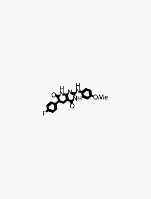 COc1ccc(Nc2nc3c(c(=O)[nH]2)CC(c2ccc(F)cc2)C(=O)N3)cc1